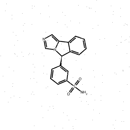 NS(=O)(=O)c1cccc([C@@H]2c3ccccc3-c3cncn32)c1